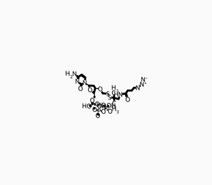 CC(C)(CNC(=O)CCCN=[N+]=[N-])SSCO[C@@H]1C[C@H](n2ccc(N)nc2=O)O[C@@H]1COP(=O)(O)OP(=O)(O)OP(=O)(O)O